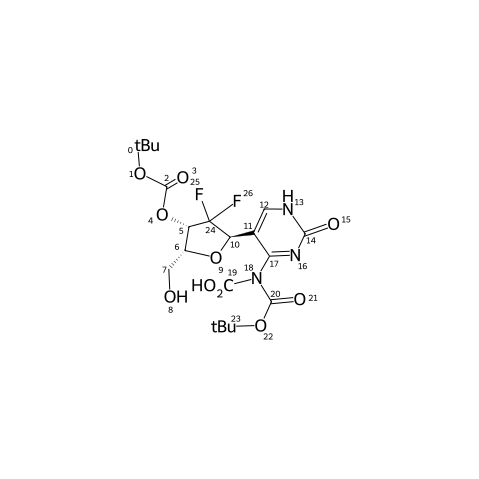 CC(C)(C)OC(=O)O[C@H]1[C@@H](CO)O[C@H](c2c[nH]c(=O)nc2N(C(=O)O)C(=O)OC(C)(C)C)C1(F)F